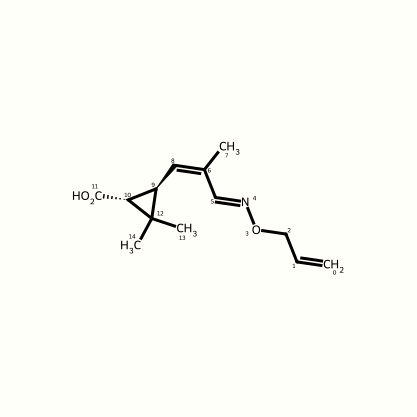 C=CCON=CC(C)=C[C@@H]1[C@@H](C(=O)O)C1(C)C